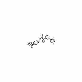 Cc1nc(C)c(-c2cccc(C(=O)N[C@@H](C)CN3CCN(C(=O)OC(C)(C)C)CC3)c2)s1